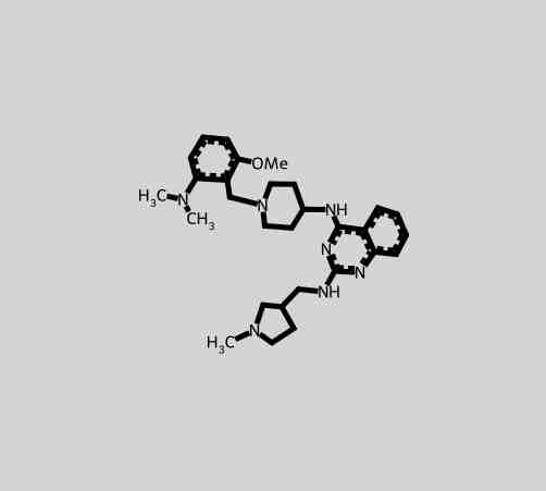 COc1cccc(N(C)C)c1CN1CCC(Nc2nc(NCC3CCN(C)C3)nc3ccccc23)CC1